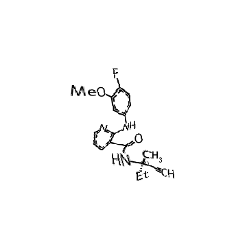 C#C[C@@](C)(CC)NC(=O)c1cccnc1Nc1ccc(F)c(OC)c1